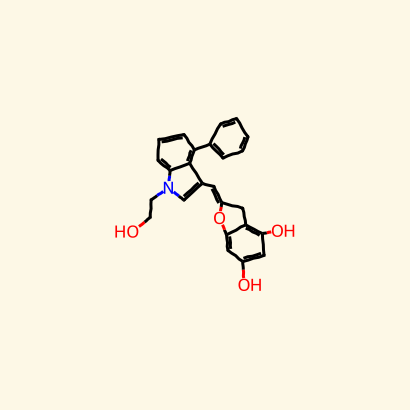 OCCn1cc(C=C2Cc3c(O)cc(O)cc3O2)c2c(-c3ccccc3)cccc21